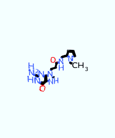 CCN1CCCC1CNC(=O)CCN1CNc2c1nc(N)[nH]c2=O